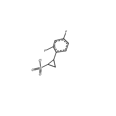 O=S(=O)(Cl)C1CC1c1ccc(F)cc1F